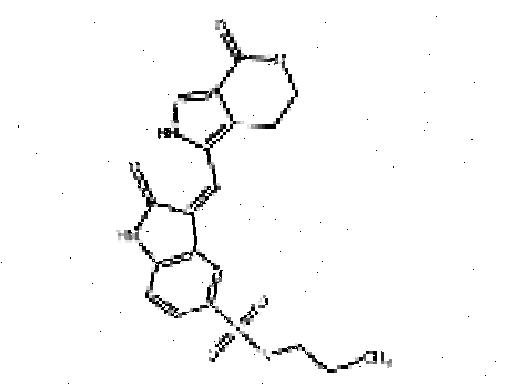 CCCNS(=O)(=O)c1ccc2c(c1)C(=Cc1[nH]cc3c1CCOC3=O)C(=O)N2